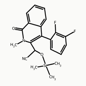 Cn1c(C(C#N)O[Si](C)(C)C)c(-c2cccc(F)c2F)c2ccccc2c1=O